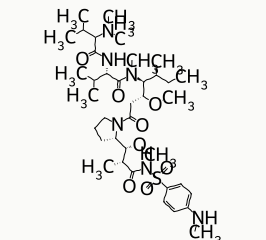 CC[C@H](C)[C@@H]([C@@H](CC(=O)N1CCC[C@H]1[C@H](OC)[C@@H](C)C(=O)NS(=O)(=O)c1ccc(NC)cc1)OC)N(C)C(=O)[C@@H](NC(=O)C(C(C)C)N(C)C)C(C)C